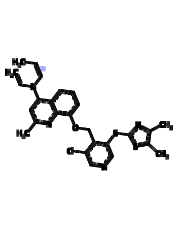 C=CN(/C=C\C)c1cc(C)nc2c(OCc3c(Cl)cncc3Sc3nc(C)c(C)s3)cccc12